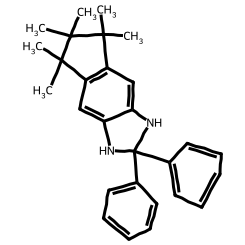 CC1(C)c2cc3c(cc2C(C)(C)C1(C)C)NC(c1ccccc1)(c1ccccc1)N3